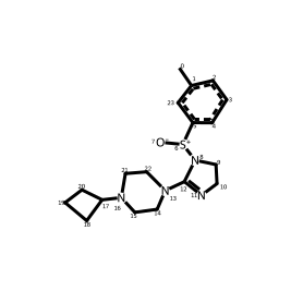 Cc1cccc([S+]([O-])N2CCN=C2N2CCN(C3CCC3)CC2)c1